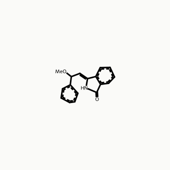 COC(C=C1NC(=O)c2ccccc21)c1ccccc1